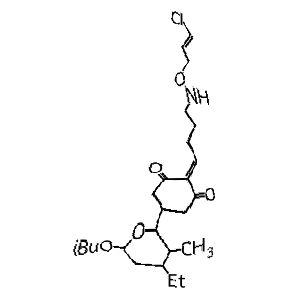 CCC1CC(OCC(C)C)OC(C2CC(=O)C(=CCCCNOCC=CCl)C(=O)C2)C1C